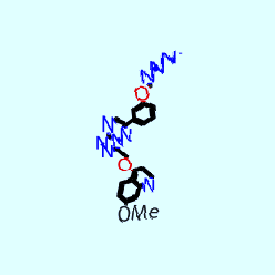 COc1ccc2c(OCc3nnc4ncc(-c5cccc(OCN=[N+]=[N-])c5)nn34)ccnc2c1